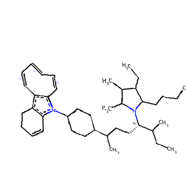 CCCCC1C(CC)C(C)C(C)N1[C@@H](CCC(C)C1CCC(n2c3c(c4c2\C=C/C=C/C=C\4)CCC=C3)CC1)C(C)CC